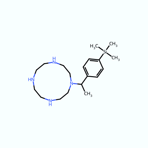 CC(c1ccc([Si](C)(C)C)cc1)N1CCNCCNCCNCC1